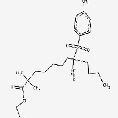 [C-]#[N+]C(CCCC)(CCCCCC(C)(C)C(=O)OCC)S(=O)(=O)c1ccc(C)cc1